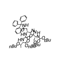 CCCCOC[C@H](NC(=O)OC(C)(C)C)c1nnc([C@H](CC(=O)NC(c2ccccc2)(c2ccccc2)c2ccccc2)NC(=O)N[C@H](C(=O)OCCCC)C(C)OCCCC)o1